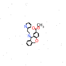 COC(=O)c1ccc2c(c1)C(=NCCc1ccccn1)c1ccccc1CO2